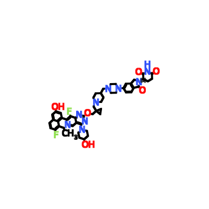 CCc1c(F)ccc2cc(O)cc(-c3ncc4c(N5CCC(O)CC5)nc(OCC5(CN6CCC(CN7CCN(c8ccc9c(c8)CN([C@H]8CCC(=O)NC8=O)C9=O)CC7)CC6)CC5)nc4c3F)c12